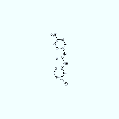 O=[N+]([O-])c1ccc(NC(=S)Nc2cccc(C(F)(F)F)c2)cc1